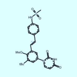 COc1c(/C=C/c2ccc(NS(C)(=O)=O)cc2)cc(-n2ccc(=O)[nH]c2=O)cc1C(C)(C)C